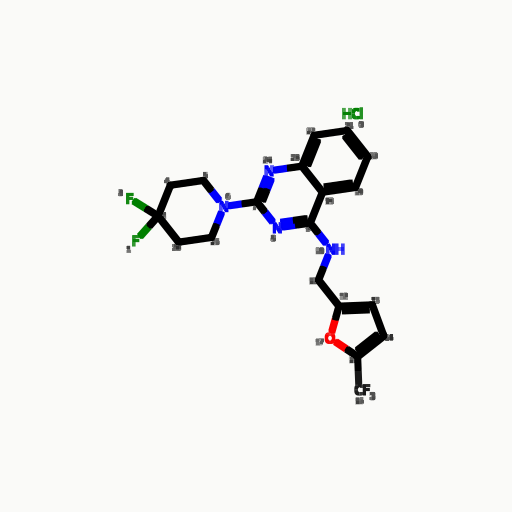 Cl.FC1(F)CCN(c2nc(NCc3ccc(C(F)(F)F)o3)c3ccccc3n2)CC1